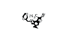 Cc1c(Br)oc2c1-c1nn(CC3COCCO3)cc1C1(CC1)C2